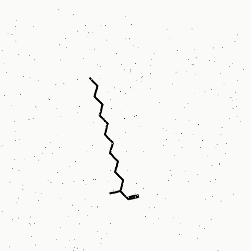 C=CC(C)CCCCCCCCCCCC